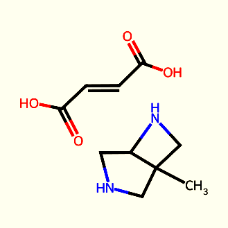 CC12CNCC1NC2.O=C(O)/C=C/C(=O)O